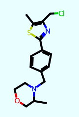 Cc1sc(-c2ccc(CN3CCOCC3C)cc2)nc1CCl